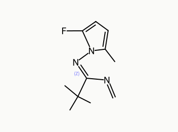 C=N/C(=N\n1c(C)ccc1F)C(C)(C)C